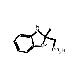 CC1(CC(=O)O)Nc2ccccc2N1